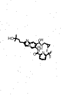 CC(C)(O)CCc1cn2cc(NC(=O)c3cccc(C(F)(F)F)n3)c(C(O)NCC3CC3)cc2n1